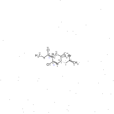 C=C(Br)C[C@H](/N=C(Cl)\N=C(\Cl)CC)C(C)C